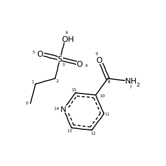 CCCS(=O)(=O)O.NC(=O)c1cccnc1